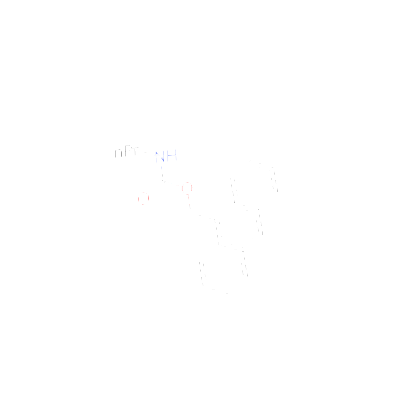 CCCNC(=O)OCc1c2ccccc2cc2ccccc12